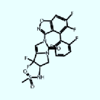 CS(=O)(=O)N[C@@H]1Cn2c(cn(-c3noc4cc(F)c(F)c(-c5c(F)cccc5F)c34)c2=O)C1(F)F